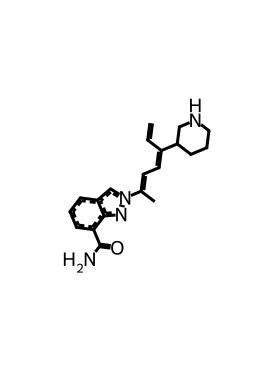 C=C/C(=C\C=C(/C)n1cc2cccc(C(N)=O)c2n1)C1CCCNC1